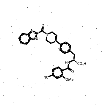 COc1cc(C#N)ccc1C(=O)N[C@@H](Cc1ccc(C2=CCN(C(=O)c3nc4ccccc4[nH]3)CC2)cc1)C(=O)O